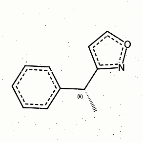 C[C@H](c1ccccc1)c1ccon1